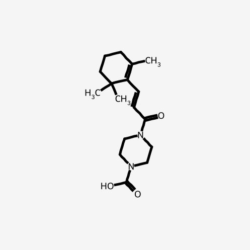 CC1=C(C=CC(=O)N2CCN(C(=O)O)CC2)C(C)(C)CCC1